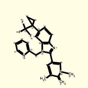 C=C1C(C)=CC(c2nc3ccc(C4(C(F)(F)F)CC4)cc3n2Cc2ccccn2)=CN1C